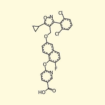 O=C(O)c1ccc(Oc2c(F)ccc3cc(OCc4c(-c5c(Cl)cccc5Cl)noc4C4CC4)ccc23)nc1